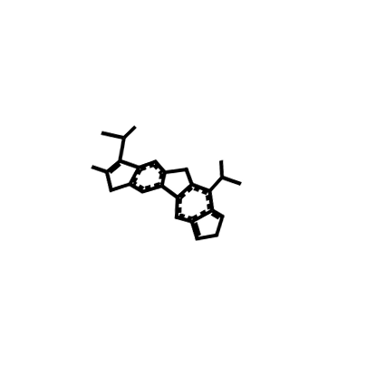 CC1=C(C(C)C)c2cc3c(cc2C1)-c1cc2c(c(C(C)C)c1C3)=CCC=2